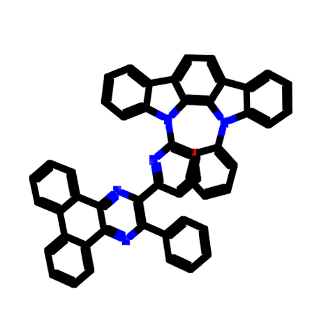 c1ccc(-c2nc3c4ccccc4c4ccccc4c3nc2-c2cccc(-n3c4ccccc4c4ccc5c6ccccc6n(-c6ccccc6)c5c43)n2)cc1